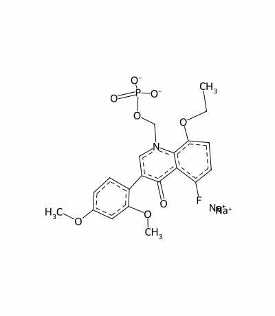 CCOc1ccc(F)c2c(=O)c(-c3ccc(OC)cc3OC)cn(COP(=O)([O-])[O-])c12.[Na+].[Na+]